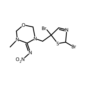 CN1COCN(CC2(Br)C=NC(Br)S2)C1=N[N+](=O)[O-]